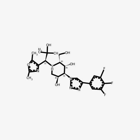 Cc1nc([C@H]([SH]2C[C@H](O)[C@H](n3cc(-c4cc(F)c(F)c(F)c4)nn3)[C@@H](O)[C@H]2CO)C(C)(C)O)c(C)o1